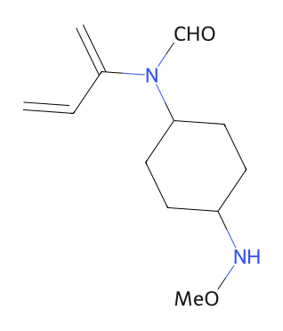 C=CC(=C)N(C=O)C1CCC(NOC)CC1